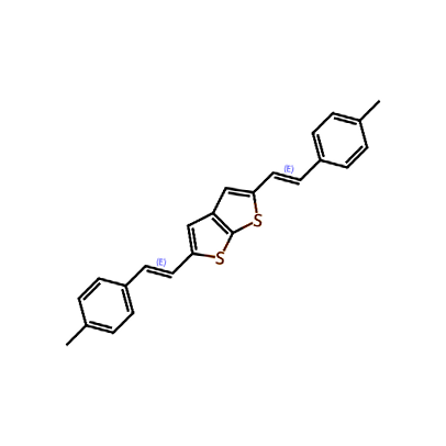 Cc1ccc(/C=C/c2cc3cc(/C=C/c4ccc(C)cc4)sc3s2)cc1